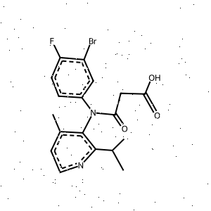 Cc1ccnc(C(C)C)c1N(C(=O)CC(=O)O)c1ccc(F)c(Br)c1